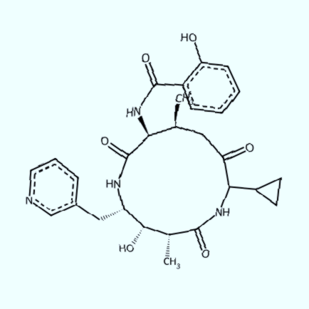 C[C@H]1CC(=O)C(C2CC2)NC(=O)[C@H](C)[C@H](O)[C@H](Cc2cccnc2)NC(=O)[C@H]1NC(=O)c1ccccc1O